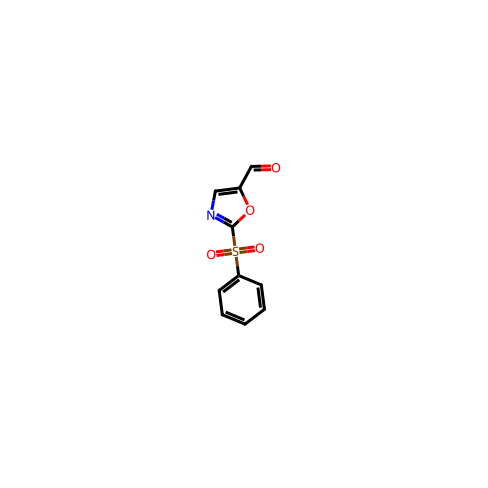 O=Cc1cnc(S(=O)(=O)c2ccccc2)o1